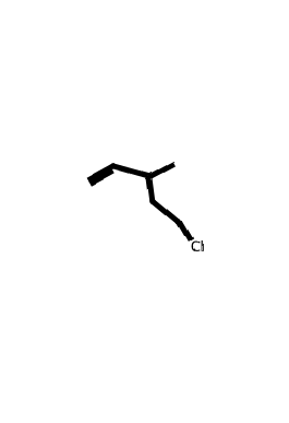 C=CC(C)CCCl